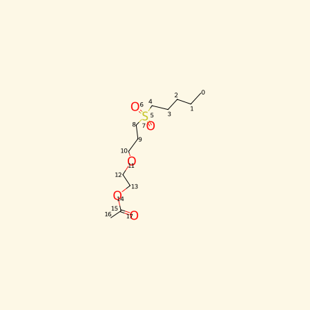 CCCCCS(=O)(=O)CCCOCCOC(C)=O